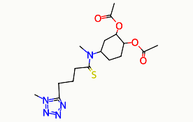 CC(=O)OC1CCC(N(C)C(=S)CCCc2nnnn2C)CC1OC(C)=O